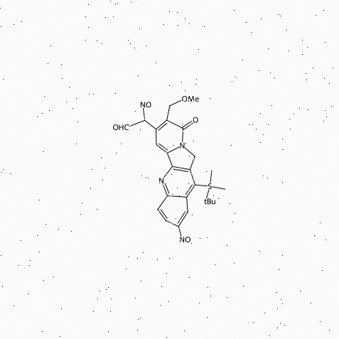 COCc1c(C(C=O)N=O)cc2n(c1=O)Cc1c-2nc2ccc(N=O)cc2c1S(C)(C)C(C)(C)C